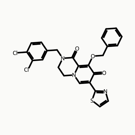 O=C1c2c(OCc3ccccc3)c(=O)c(-c3nccs3)cn2CCN1Cc1ccc(Cl)c(Cl)c1